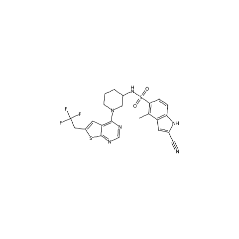 Cc1c(S(=O)(=O)NC2CCCN(c3ncnc4sc(CC(F)(F)F)cc34)C2)ccc2[nH]c(C#N)cc12